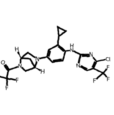 O=C(N1C[C@@H]2C[C@H]1CN2c1ccc(Nc2ncc(C(F)(F)F)c(Cl)n2)c(C2CC2)c1)C(F)(F)F